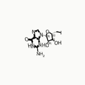 Nc1nc2c(ncn2[C@@H]2O[C@H](CI)[C@@H](O)[C@H]2O)c(=O)[nH]1